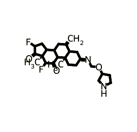 C=C1CC2C(C(=O)C(F)[C@]3(C)C(=O)C(F)CC23)[C@@]2(C)CCC(=NCOC3CCNC3)CC12